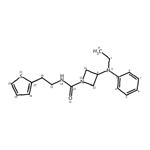 CCN(c1ccccc1)C1CN(C(=O)NCCc2cccs2)C1